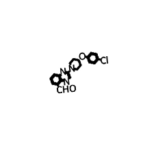 O=Cc1cccc2nc(N3CCC(Oc4ccc(Cl)cc4)CC3)cnc12